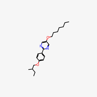 CCCCCCCOc1cnc(-c2ccc(OCC(C)CC)cc2)nc1